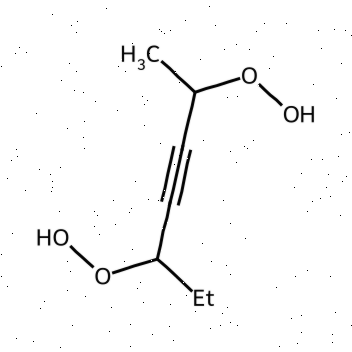 CCC(C#CC(C)OO)OO